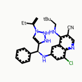 C=C(CC)N1C=C([C@@H](Nc2cc(Cl)c3ncc(C#N)c(NCC(C)(C)C)c3c2)c2ccccc2)NN1